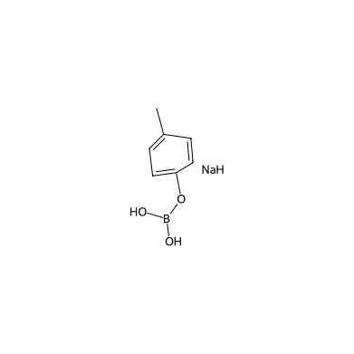 Cc1ccc(OB(O)O)cc1.[NaH]